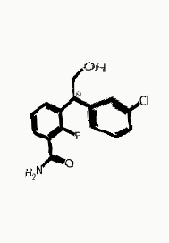 NC(=O)c1cccc([C@@H](CO)c2cccc(Cl)c2)c1F